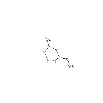 COC1CC[CH]C(C)C1